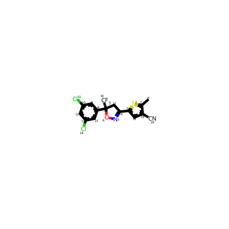 Cc1sc(C2=NOC(c3cc(Cl)cc(Cl)c3)(C(F)(F)F)C2)cc1C#N